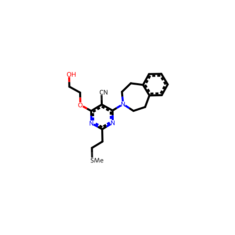 CSCCc1nc(OCCO)c(C#N)c(N2CCc3ccccc3CC2)n1